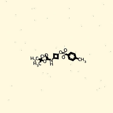 Cc1ccc(S(=O)(=O)O[C@H]2C[C@H](NC(=O)OC(C)(C)C)C2)cc1